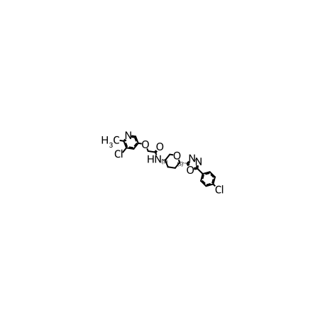 Cc1ncc(OCC(=O)N[C@H]2CC[C@@H](c3nnc(-c4ccc(Cl)cc4)o3)OC2)cc1Cl